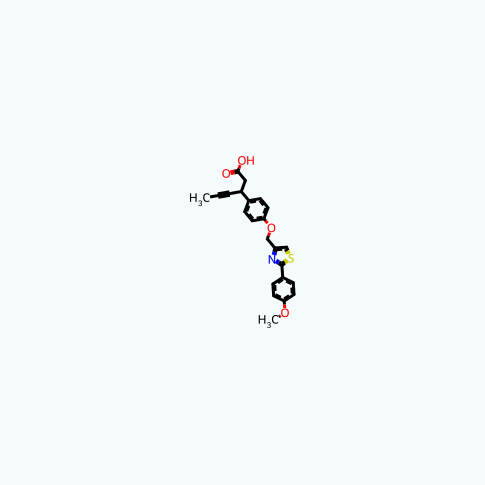 CC#CC(CC(=O)O)c1ccc(OCc2csc(-c3ccc(OC)cc3)n2)cc1